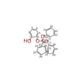 Oc1ccccc1O[Si](Oc1ccccc1)(Oc1ccccc1)c1ccccc1